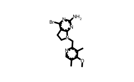 COc1c(C)cnc(CN2CCc3c(Br)nc(N)nc32)c1C